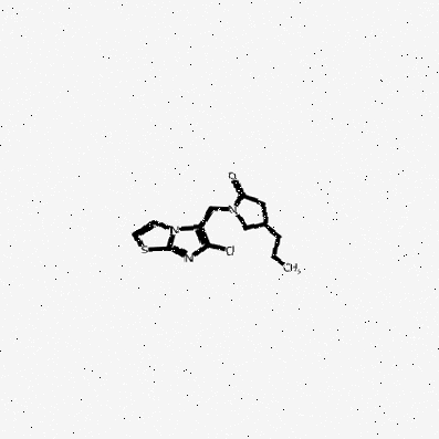 CCCC1CC(=O)N(Cc2c(Cl)nc3sccn23)C1